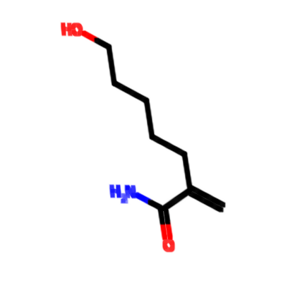 C=C(CCCCCO)C(N)=O